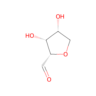 O=C[C@H]1OC[C@@H](O)[C@H]1O